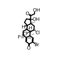 C[C@]12C=C(Br)C(=O)C=C1[C@H](F)C[C@H]1[C@@H]3CC[C@](O)(C(=O)CO)[C@@]3(C)C[C@H](Cl)[C@@]12Cl